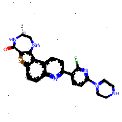 C[C@@H]1CNc2c(sc3ccc4nc(-c5ccc(N6CCNCC6)nc5F)ccc4c23)C(=O)N1